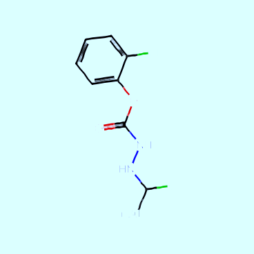 CCCCC(Cl)NNC(=O)Oc1ccccc1Cl